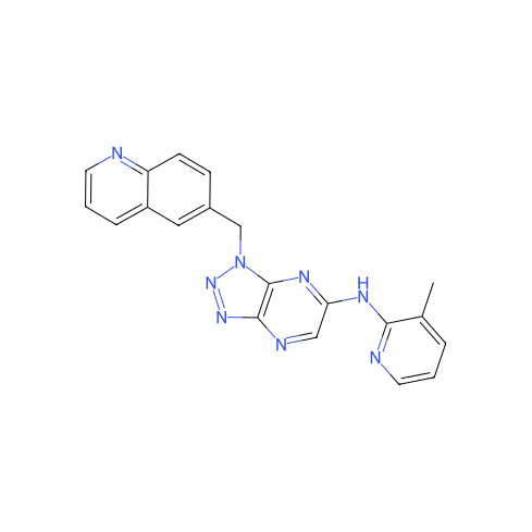 Cc1cccnc1Nc1cnc2nnn(Cc3ccc4ncccc4c3)c2n1